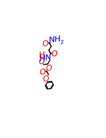 NC(=O)CCC(=O)NCC(CO)OC(=O)COc1ccccc1